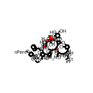 CCCCCOc1ccc(S(=O)(=O)N2CCCN(Cc3c(O)cc4c(c3O)-c3cc(ccc3O)[C@H]3CC(=O)[C@@H]5NC(=O)[C@H](CC(N)=O)CC(=O)[C@H](NC(=O)[C@H](CC)CC(C)C)[C@H](O)c6ccc(c(Cl)c6)Oc6cc5cc(c6O[C@@H]5C[C@H](CO)[C@@H](O)[C@H](O)[C@H]5O[C@H]5C[C@](C)(N)[C@H](O)[C@H](C)O5)Oc5ccc(cc5Cl)[C@@H](O)[C@H](NC3=O)C(=O)N[C@@H]4C(=O)CC3C4CC5CC(C4)CC3C5)C2)cc1